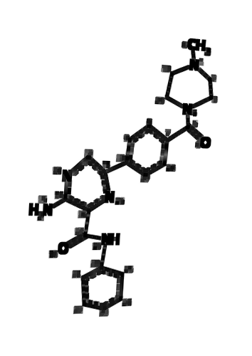 CN1CCN(C(=O)c2ccc(-c3cnc(N)c(C(=O)Nc4ccccc4)n3)cc2)CC1